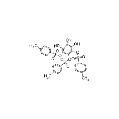 Cc1ccc(S(=O)(=O)Oc2c(O)c(O)c(O)c(OS(=O)(=O)c3ccc(C)cc3)c2OS(=O)(=O)c2ccc(C)cc2)cc1